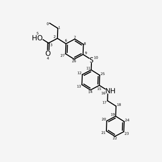 CCC(C(=O)O)c1ccc(Sc2cccc(NCCc3ccccc3)c2)cc1